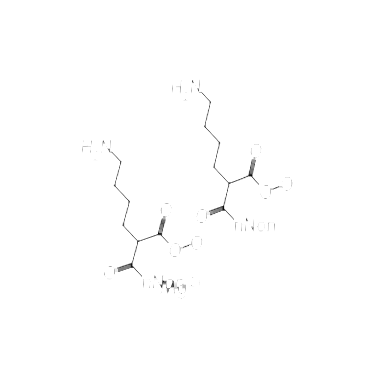 CCCCCCCCCC(=O)C(CCCCN)C(=O)O[O-].CCCCCCCCCC(=O)C(CCCCN)C(=O)O[O-].[Mg+2]